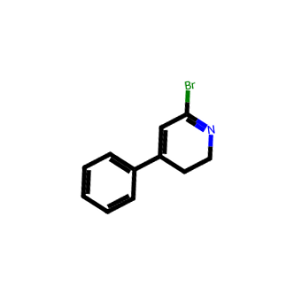 BrC1=NCCC(c2ccccc2)=C1